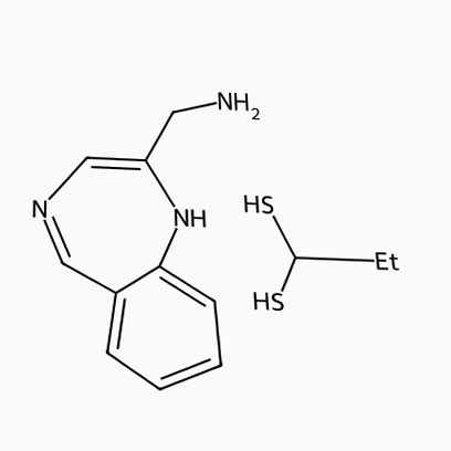 CCC(S)S.NCC1=CN=Cc2ccccc2N1